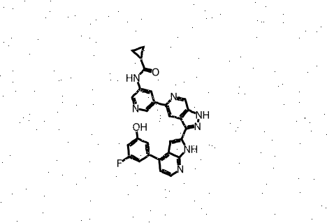 O=C(Nc1cncc(-c2cc3c(-c4cc5c(-c6cc(O)cc(F)c6)ccnc5[nH]4)n[nH]c3cn2)c1)C1CC1